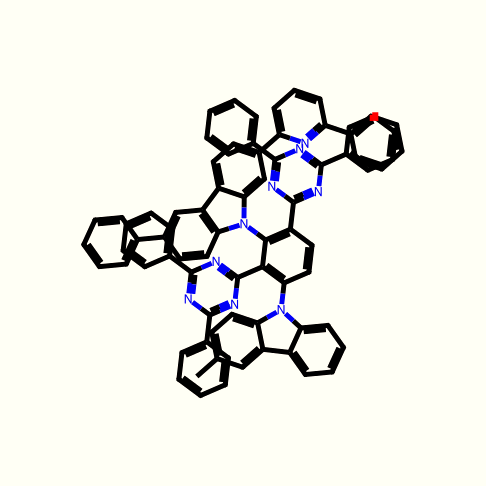 Cc1ccc2c(c1)c1ccccc1n2-c1ccc(-c2nc(-c3ccccc3)nc(-c3ccccc3)n2)c(-n2c3ccc(-c4ccccc4)cc3c3ccc(-c4cccc(-c5ccccc5)n4)cc32)c1-c1nc(-c2ccccc2)nc(-c2ccccc2)n1